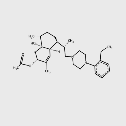 CCc1ccccc1N1CCN(C[C@@H](C)[C@@H]2CC[C@@H](C)[C@]3(O)[C][C@@H](OC(C)=O)C(C)=C[C@H]23)CC1